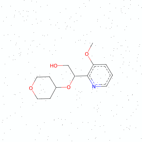 COc1cccnc1C(CO)OC1CCOCC1